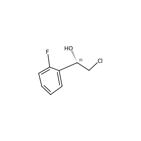 O[C@H](CCl)c1ccccc1F